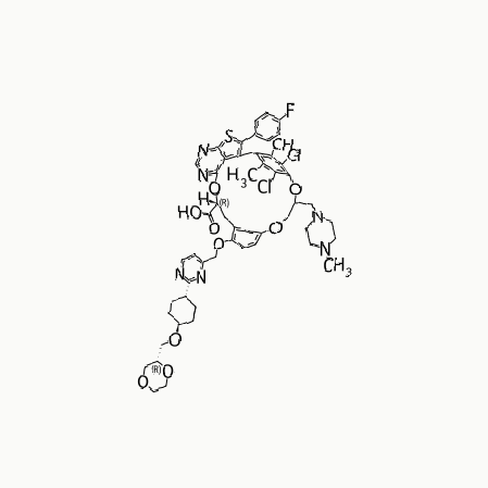 Cc1c(Cl)c2c(Cl)c(C)c1-c1c(-c3ccc(F)cc3)sc3ncnc(c13)O[C@@H](C(=O)O)Cc1cc(ccc1OCc1ccnc([C@H]3CC[C@H](OC[C@H]4COCCO4)CC3)n1)OCC(CN1CCN(C)CC1)O2